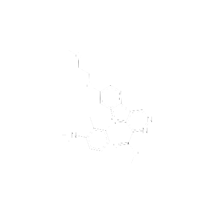 COCCOc1ccc2c3cnnc(C(=O)OC)c3n(-c3cccc(N)c3C)c2c1